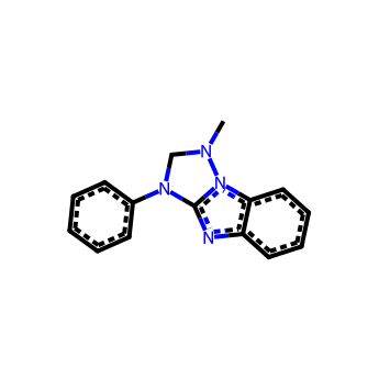 CN1CN(c2ccccc2)c2nc3ccccc3n21